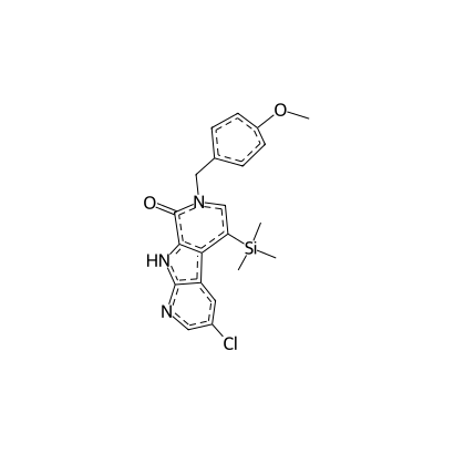 COc1ccc(Cn2cc([Si](C)(C)C)c3c([nH]c4ncc(Cl)cc43)c2=O)cc1